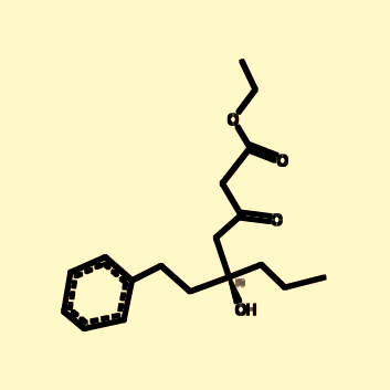 CCC[C@](O)(CCc1ccccc1)CC(=O)CC(=O)OCC